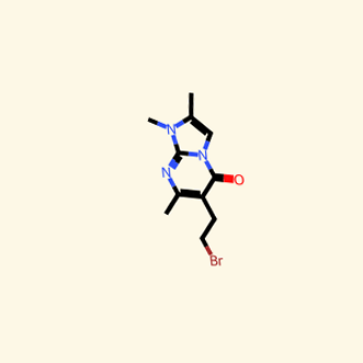 Cc1nc2n(C)c(C)cn2c(=O)c1CCBr